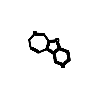 C1=Cc2c(oc3ccncc23)C=NC1